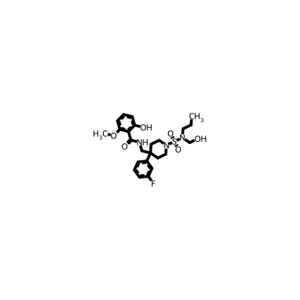 CCCN(CO)S(=O)(=O)N1CCC(CNC(=O)c2c(O)cccc2OC)(c2cccc(F)c2)CC1